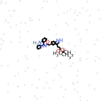 CC(C)(C)OC(=O)CCc1c[nH]c2ccc(CC(=O)NC(c3ccccc3)c3ccccc3N)cc12